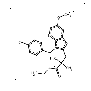 CCOC(=O)C(C)(C)Cc1cc2cc(OC)cnc2n1Cc1ccc(Cl)cc1